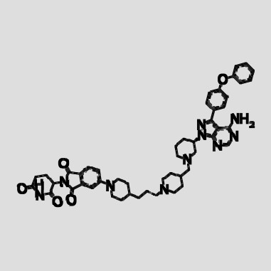 Nc1ncnc2c1c(-c1ccc(Oc3ccccc3)cc1)nn2[C@@H]1CCCN(CC2CCN(CCCC3CCN(c4ccc5c(c4)C(=O)N(C4CCC(=O)NC4=O)C5=O)CC3)CC2)C1